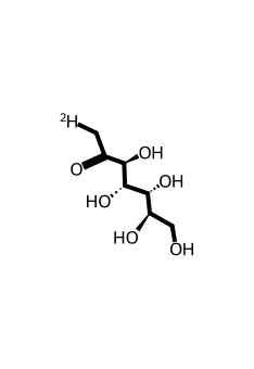 [2H]CC(=O)[C@@H](O)[C@@H](O)[C@H](O)[C@H](O)CO